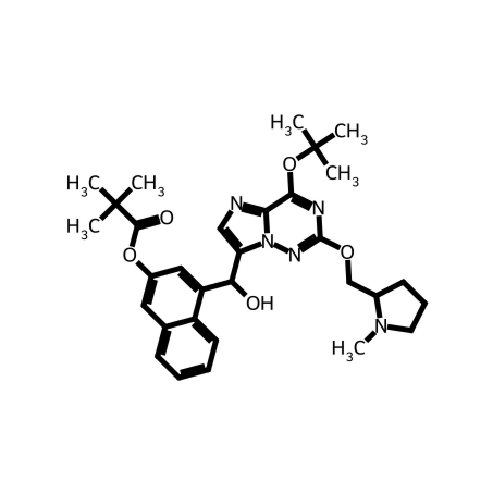 CN1CCCC1COc1nc(OC(C)(C)C)c2ncc(C(O)c3cc(OC(=O)C(C)(C)C)cc4ccccc34)n2n1